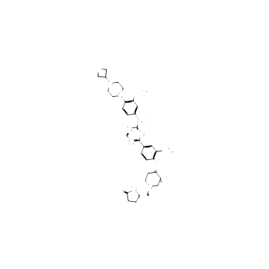 COc1cc(Nc2ncnc(-c3ccc(O[C@H]4CCN(C(=O)[C@@H]5CCC(=O)N5)C[C@H]4F)c(C#N)c3)n2)ccc1N1CCN(C2COC2)CC1